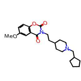 COc1ccc2oc(=O)n(CCC3CCN(CC4CCCC4)CC3)c(=O)c2c1